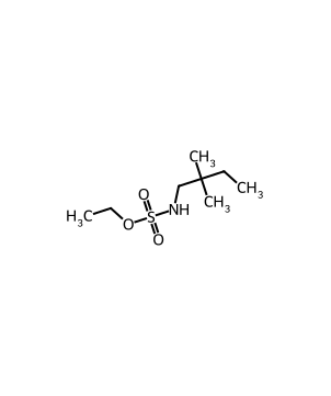 CCOS(=O)(=O)NCC(C)(C)CC